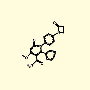 COc1cc(=O)n(-c2ccc(N3CCC3=O)cc2)c(-c2ccccc2)c1C(N)=O